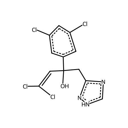 OC(C=C(Cl)Cl)(Cc1nc[nH]n1)c1cc(Cl)cc(Cl)c1